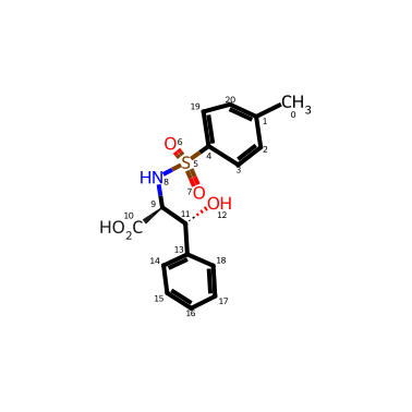 Cc1ccc(S(=O)(=O)N[C@H](C(=O)O)[C@H](O)c2ccccc2)cc1